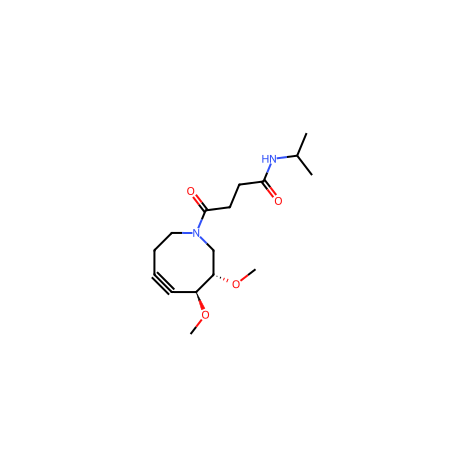 CO[C@H]1C#CCCN(C(=O)CCC(=O)NC(C)C)C[C@@H]1OC